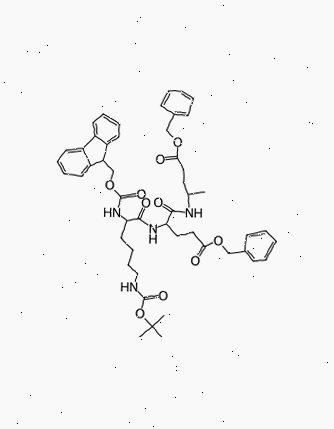 CC(CCC(=O)OCc1ccccc1)NC(=O)C(CCC(=O)OCc1ccccc1)NC(=O)C(CCCCNC(=O)OC(C)(C)C)NC(=O)OCC1c2ccccc2-c2ccccc21